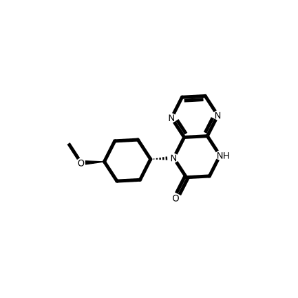 CO[C@H]1CC[C@H](N2C(=O)CNc3nccnc32)CC1